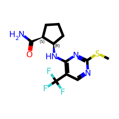 CSc1ncc(C(F)(F)F)c(N[C@@H]2CCC[C@@H]2C(N)=O)n1